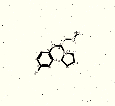 CCOC[C@@H](Oc1ccc(F)cc1)N1CCCC1